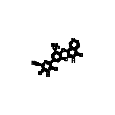 N.N#Cc1nn(-c2cc(Cl)c(Oc3n[nH]c(=O)c4ccncc34)c(Cl)c2)c(=O)[nH]c1=O